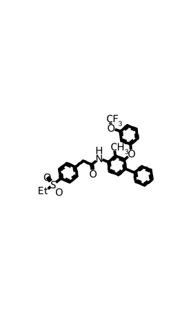 CCS(=O)(=O)c1ccc(CC(=O)Nc2ccc(-c3ccccc3)c(Oc3cccc(OC(F)(F)F)c3)c2C)cc1